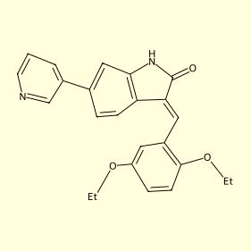 CCOc1ccc(OCC)c(/C=C2/C(=O)Nc3cc(-c4cccnc4)ccc32)c1